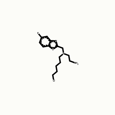 NCCN(CCCCCCl)Cc1nc2cc(F)ccc2s1